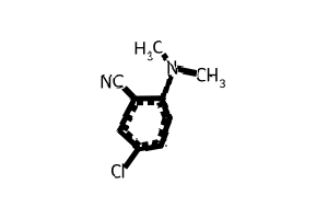 CN(C)c1c[c]c(Cl)cc1C#N